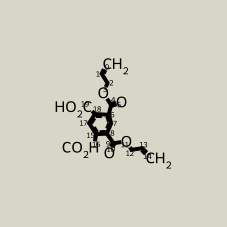 C=CCOC(=O)c1cc(C(=O)OCC=C)c(C(=O)O)cc1C(=O)O